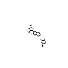 Cc1ccc(C(C)(F)F)cc1COc1ccc2cc(-c3nn(C(C)C)c4ncnc(N)c34)ccc2c1